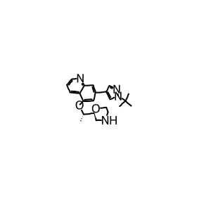 C[C@H](Oc1cc(-c2cnn(C(C)(C)C)c2)cc2ncccc12)[C@@H]1CNCCO1